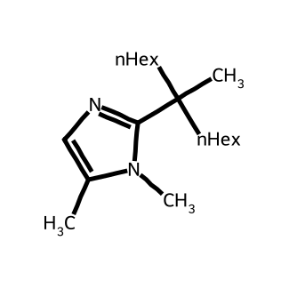 CCCCCCC(C)(CCCCCC)c1ncc(C)n1C